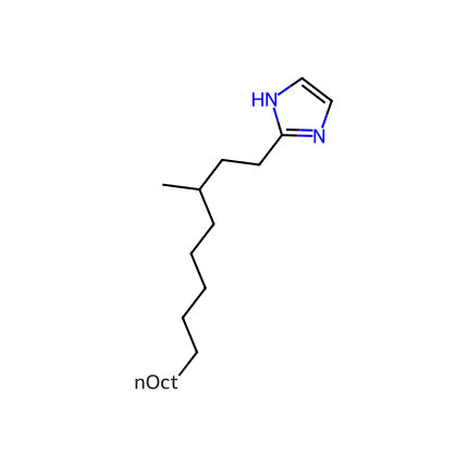 CCCCCCCCCCCCCC(C)CCc1ncc[nH]1